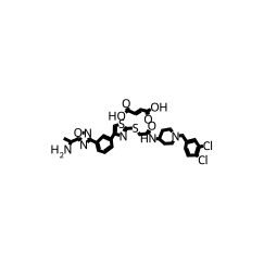 CC(N)c1nc(-c2cccc(-c3csc(SCC(=O)NC4CCN(Cc5ccc(Cl)c(Cl)c5)CC4)n3)c2)no1.O=C(O)C=CC(=O)O